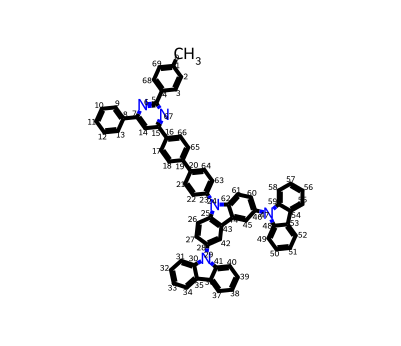 Cc1ccc(-c2nc(-c3ccccc3)cc(-c3ccc(-c4ccc(-n5c6ccc(-n7c8ccccc8c8ccccc87)cc6c6cc(-n7c8ccccc8c8ccccc87)ccc65)cc4)cc3)n2)cc1